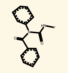 O=C(NF)N(C(=O)c1ccccc1)c1ccccc1